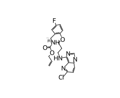 C=CCOC(=O)N[C@H](C)c1cc(F)ccc1OCCCNc1ncnc2ccc(Cl)nc12